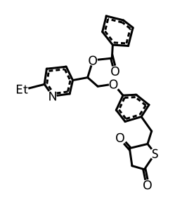 CCc1ccc(C(COc2ccc(CC3SC(=O)CC3=O)cc2)OC(=O)c2ccccc2)cn1